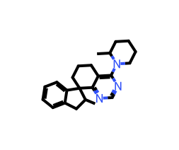 CC1CCCCN1c1ncnc2c1CCCC21c2ccccc2CC1C